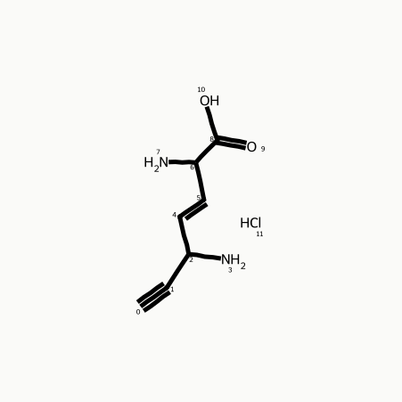 C#CC(N)C=CC(N)C(=O)O.Cl